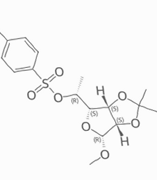 CO[C@@H]1O[C@H]([C@@H](C)OS(=O)(=O)c2ccc(C)cc2)[C@@H]2OC(C)(C)O[C@H]12